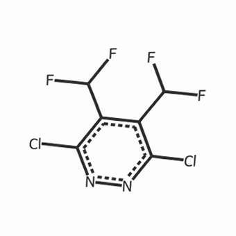 FC(F)c1c(Cl)nnc(Cl)c1C(F)F